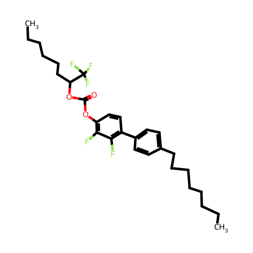 CCCCCCCCc1ccc(-c2ccc(OC(=O)OC(CCCCCC)C(F)(F)F)c(F)c2F)cc1